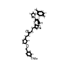 COc1ccc(CO[C@H]2CCC(CCC(=O)CCc3cnn4ccc(N5CCC[C@@H]5c5cc(F)ccc5I)nc34)C2)cc1